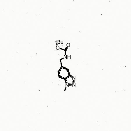 Cn1nnc2cc(CNC(=O)OC(C)(C)C)ccc21